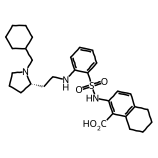 O=C(O)c1c(NS(=O)(=O)c2ccccc2NCC[C@@H]2CCCN2CC2CCCCC2)ccc2c1CCCC2